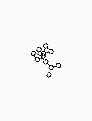 c1ccc(-c2cc(-c3ccccc3)cc(-c3ccc(N(c4ccc5c6ccccc6c6ccccc6c5c4)c4cccc5c4C4(c6ccccc6-c6ccccc64)c4ccccc4-5)cc3)c2)cc1